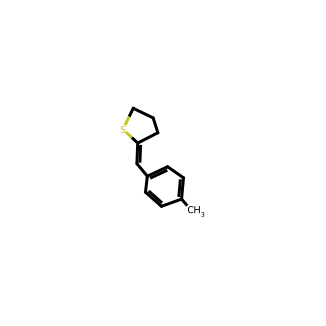 Cc1ccc(/C=C2\CCCS2)cc1